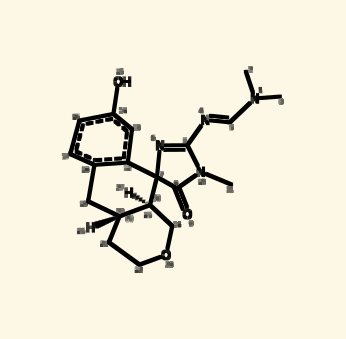 CN(C)C=NC1=NC2(C(=O)N1C)c1cc(O)ccc1C[C@H]1CCOC[C@@H]12